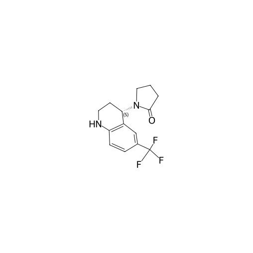 O=C1CCCN1[C@H]1CCNc2ccc(C(F)(F)F)cc21